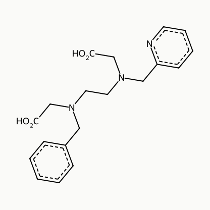 O=C(O)CN(CCN(CC(=O)O)Cc1ccccn1)Cc1ccccc1